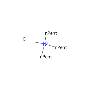 CCCCC[N+](C)(CCCCC)CCCCC.[Cl-]